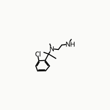 CNCCN(C)C(C)(C)c1ccccc1Cl